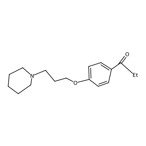 CCC(=O)c1ccc(OCCCN2CCCCC2)cc1